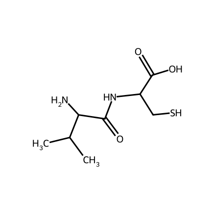 CC(C)C(N)C(=O)NC(CS)C(=O)O